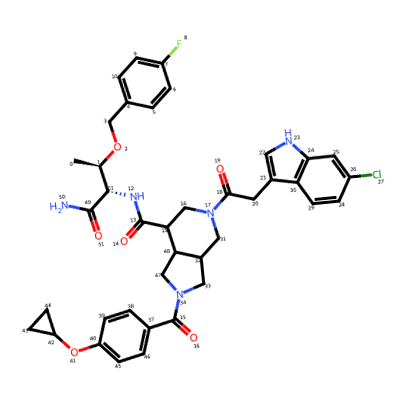 C[C@@H](OCc1ccc(F)cc1)[C@H](NC(=O)C1CN(C(=O)Cc2c[nH]c3cc(Cl)ccc23)CC2CN(C(=O)c3ccc(OC4CC4)cc3)CC21)C(N)=O